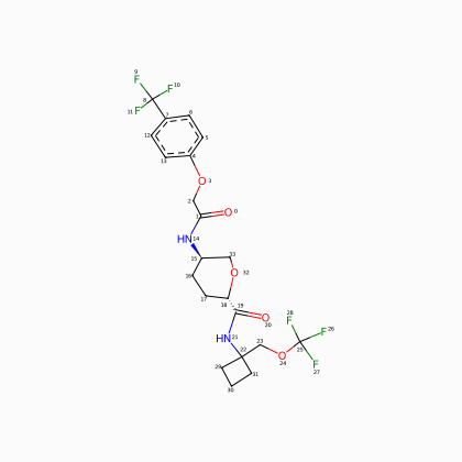 O=C(COc1ccc(C(F)(F)F)cc1)N[C@@H]1CC[C@@H](C(=O)NC2(COC(F)(F)F)CCC2)OC1